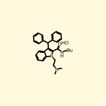 CCC(C)NC(=O)c1c(C(c2ccccc2)c2ccccc2)c2ccccc2n1CCN(C)C.Cl